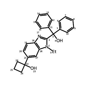 CCn1c(C(O)(c2ccccc2)c2ccccc2)nc2ccc(C3(O)CCC3)cc21